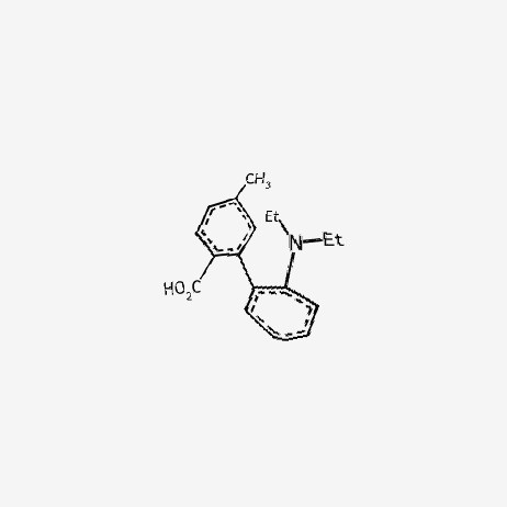 CCN(CC)c1ccccc1-c1cc(C)ccc1C(=O)O